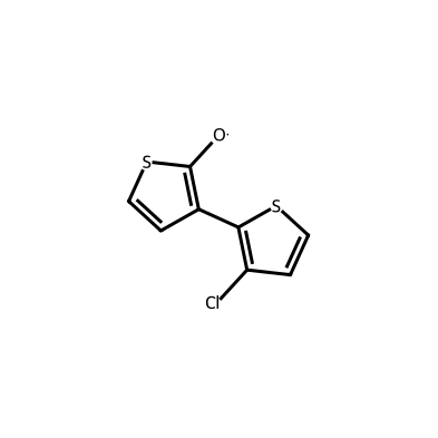 [O]c1sccc1-c1sccc1Cl